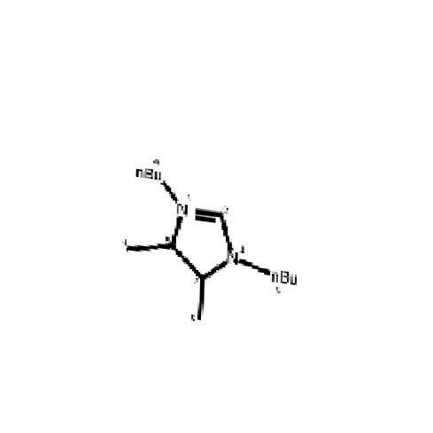 CCCCN1C=[N+](CCCC)C(C)C1C